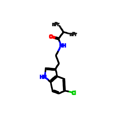 CCCC(CCC)C(=O)NCCc1c[nH]c2ccc(Cl)cc12